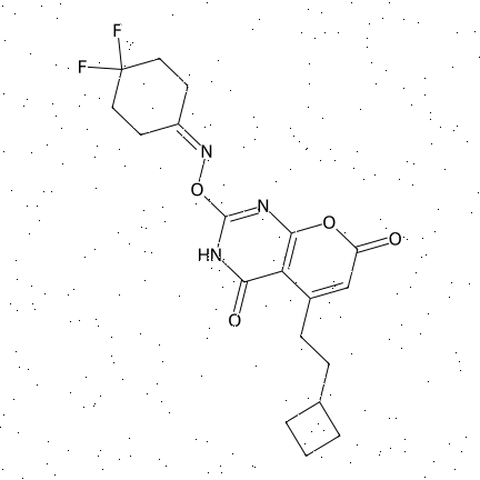 O=c1cc(CCC2CCC2)c2c(=O)[nH]c(ON=C3CCC(F)(F)CC3)nc2o1